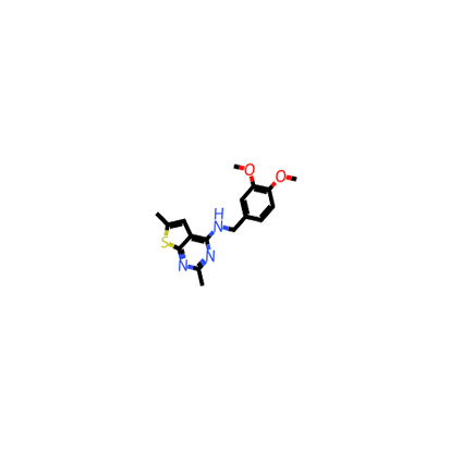 COc1ccc(CNc2nc(C)nc3sc(C)cc23)cc1OC